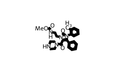 COC(=O)NCCn1c(C(=O)N2CCNCC2)c(-c2ccccc2)n(-c2ccccc2C)c1=O